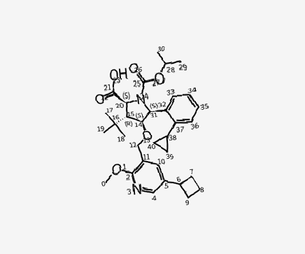 COc1ncc(C2CCC2)cc1CO[C@H]1[C@H](C(C)(C)C)[C@@H](C(=O)O)N(C(=O)OC(C)C)[C@H]1c1ccccc1C1CC1